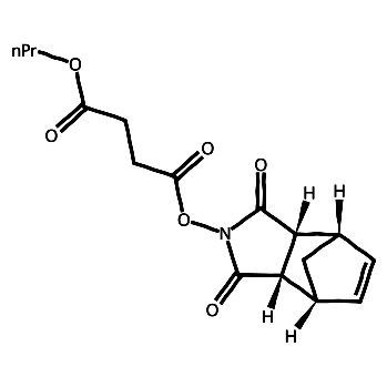 CCCOC(=O)CCC(=O)ON1C(=O)[C@@H]2[C@H](C1=O)[C@@H]1C=C[C@H]2C1